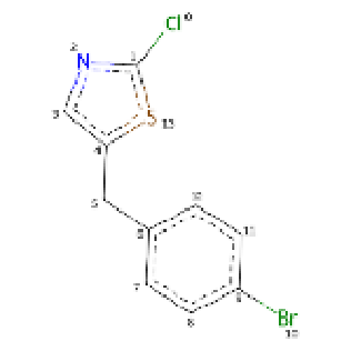 Clc1ncc(Cc2ccc(Br)cc2)s1